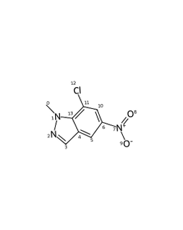 Cn1ncc2cc([N+](=O)[O-])cc(Cl)c21